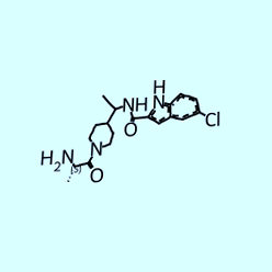 CC(NC(=O)c1cc2cc(Cl)ccc2[nH]1)C1CCN(C(=O)[C@H](C)N)CC1